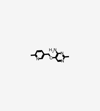 Cc1ccc(COc2cnc(C)nc2N)cn1